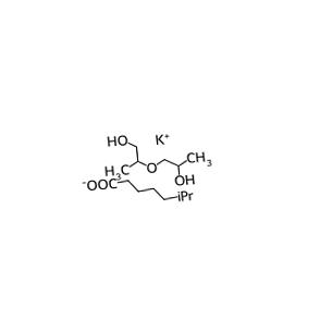 CC(C)CCCCC(=O)[O-].CC(O)COC(C)CO.[K+]